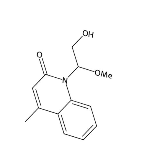 COC(CO)n1c(=O)cc(C)c2ccccc21